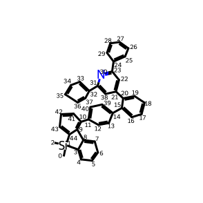 C[Si]1(C)c2ccccc2-c2c(-c3ccc(-c4ccccc4-c4cc(-c5ccccc5)nc(-c5ccccc5)c4)cc3)cccc21